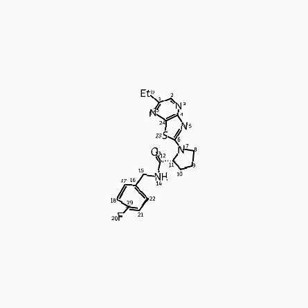 CCc1cnc2nc(N3CCC[C@@H]3C(=O)NCc3ccc(F)cc3)sc2n1